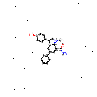 Cn1cc(-c2ccc(O)cc2)c2cc(-c3ccccc3)cc(C(N)=O)c21